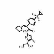 Cc1sc(NC(=O)C(=CC2CCCC2)c2ccc(S(=O)(=O)C3CC3)cc2)nc1C(O)CO